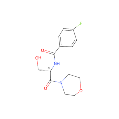 O=C(N[C@@H](CO)C(=O)N1CCOCC1)c1ccc(F)cc1